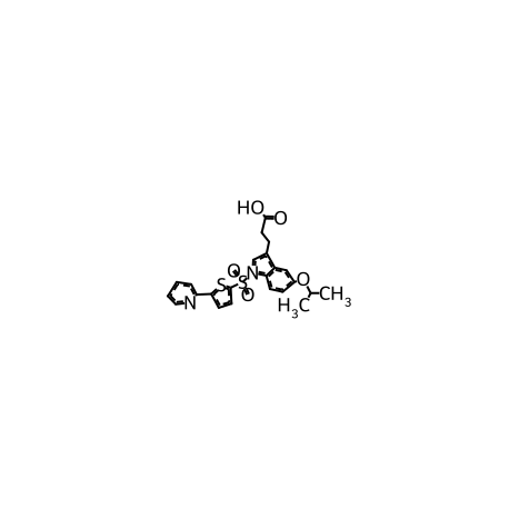 CC(C)Oc1ccc2c(c1)c(CCC(=O)O)cn2S(=O)(=O)c1ccc(-c2ccccn2)s1